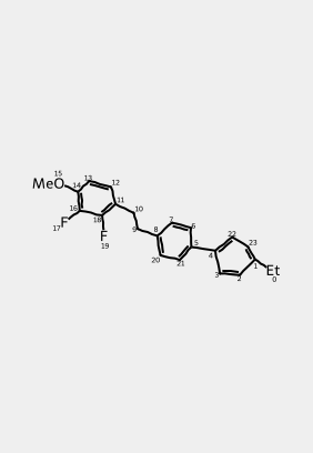 CCc1ccc(-c2ccc(CCc3ccc(OC)c(F)c3F)cc2)cc1